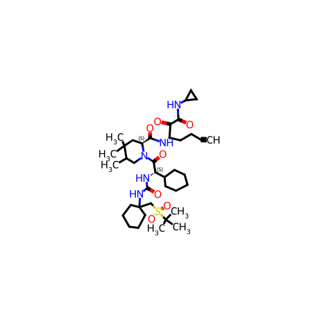 C#CCCC(NC(=O)[C@@H]1CC(C)(C)C(C)CN1C(=O)[C@@H](NC(=O)NC1(CS(=O)(=O)C(C)(C)C)CCCCC1)C1CCCCC1)C(=O)C(=O)NC1CC1